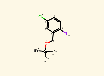 CC(C)[Si](OCc1cc(Cl)ccc1I)(C(C)C)C(C)C